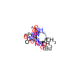 CCCOc1cnc(O[C@@H]2C[C@H]3C(=O)N[C@]4(C(=O)NS(=O)(=O)C5CC5)CC4/C=C\CC[C@H](C)C[C@@H](C)[C@H](NC(=O)OC(C)(C)C)C(=O)N3C2)c2ccccc12